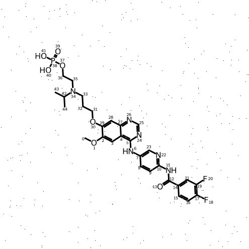 COc1cc2c(Nc3ccc(NC(=O)c4ccc(F)c(F)c4)nc3)ncnc2cc1OCCCN(CCOP(=O)(O)O)C(C)C